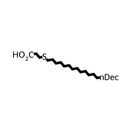 CCCCCCCCCCCCCCCCCCCCCCCSCCC(=O)O